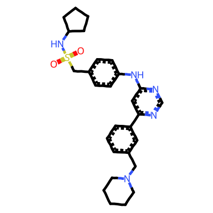 O=S(=O)(Cc1ccc(Nc2cc(-c3cccc(CN4CCCCC4)c3)ncn2)cc1)NC1CCCC1